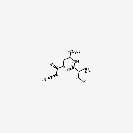 CCOC(=O)C(CCC(=O)C=[N+]=[N-])NC(=O)C(N)CC(C)C